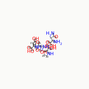 CC(N)C(=O)O.NC(=O)CC(N)C(=O)O.NC(CC(=O)O)C(=O)O.O=C(O)C1CCCN1